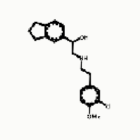 COc1ccc(CCNCC(O)c2ccc3c(c2)CCC3)cc1Cl